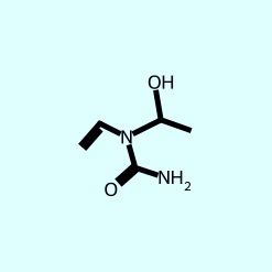 C=CN(C(N)=O)C(C)O